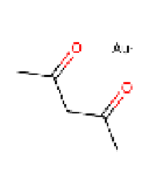 CC(=O)CC(C)=O.[Au]